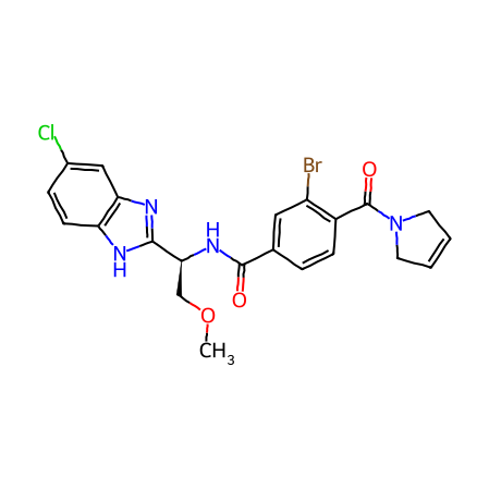 COC[C@H](NC(=O)c1ccc(C(=O)N2CC=CC2)c(Br)c1)c1nc2cc(Cl)ccc2[nH]1